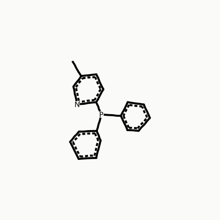 Cc1ccc(P(c2ccccc2)c2ccccc2)nc1